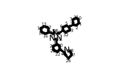 c1ccc(-c2ccc(-c3nc(-c4ccccc4)nc(-c4cccc(-c5ccccn5)c4)n3)cc2)cc1